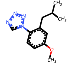 COc1ccc(-n2cnnn2)c(CC(C)C)c1